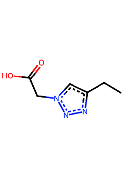 CCc1cn(CC(=O)O)nn1